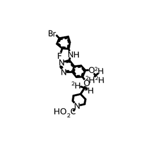 [2H]C([2H])([2H])Oc1cc2c(Nc3ccc(Br)cc3F)ncnc2cc1OC([2H])([2H])C1CCN(C(=O)O)CC1